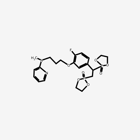 CN(CCCOc1cc(C(CP2(=O)OCCO2)P2(=O)OCCO2)ccc1F)c1ccccn1